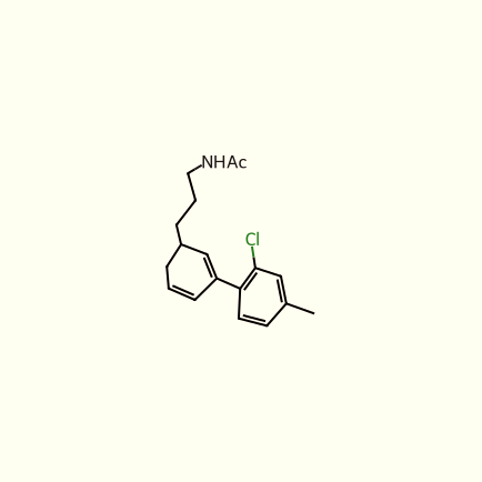 CC(=O)NCCCC1C=C(c2ccc(C)cc2Cl)C=CC1